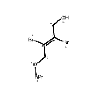 CCCOCC(Br)=C(Br)CO